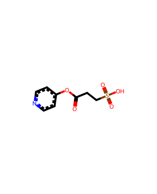 O=C(CCS(=O)(=O)O)Oc1ccncc1